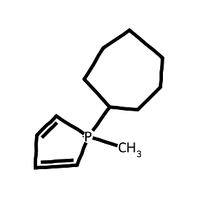 C[P]1(C2CCCCCC2)C=CC=C1